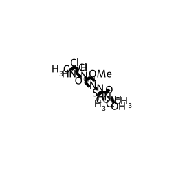 CO[C@H]1CN(c2nc(C(=O)NCC(C)(C)O)c(C(=O)O)s2)CC[C@H]1NC(=O)c1[nH]c(C)c(Cl)c1Cl